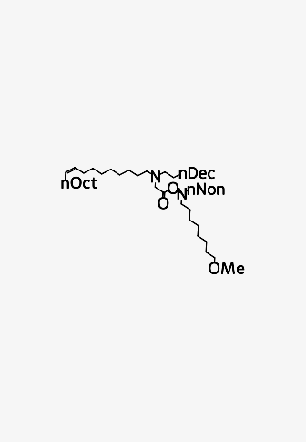 CCCCCCCC/C=C\CCCCCCCCN(CCCCCCCCCCCC)CC(=O)ON(CCCCCCCCC)CCCCCCCCOC